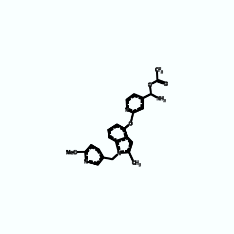 COc1ccc(Cn2c(C)cc3c(Oc4cc(C(N)OC(=O)C(F)(F)F)ccn4)cccc32)cn1